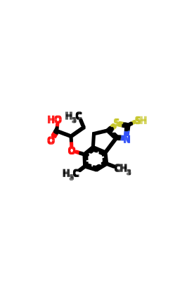 CCC(Oc1c(C)cc(C)c2c1Cc1sc(S)nc1-2)C(=O)O